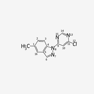 Cc1ccc2c(cnn2-c2cc(Cl)ncn2)c1